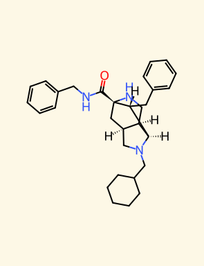 O=C(NCc1ccccc1)[C@@]12C[C@@H]3CN(CC4CCCCC4)[C@@H]([C@@H]3CN1)[C@H]2Cc1ccccc1